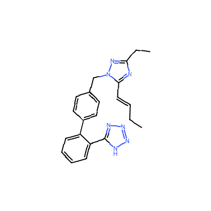 CCC=Cc1nc(CC)nn1Cc1ccc(-c2ccccc2-c2nnn[nH]2)cc1